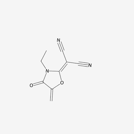 C=c1oc(=C(C#N)C#N)n(CC)c1=O